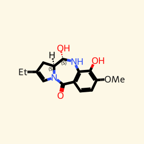 CCC1=CN2C(=O)c3ccc(OC)c(O)c3N[C@@H](O)[C@@H]2C1